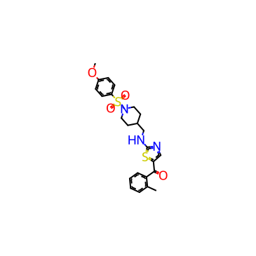 COc1ccc(S(=O)(=O)N2CCC(CNc3ncc(C(=O)c4ccccc4C)s3)CC2)cc1